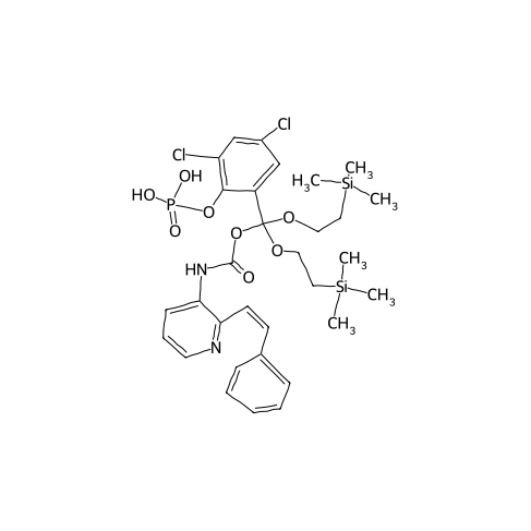 C[Si](C)(C)CCOC(OCC[Si](C)(C)C)(OC(=O)Nc1cccnc1C=Cc1ccccc1)c1cc(Cl)cc(Cl)c1OP(=O)(O)O